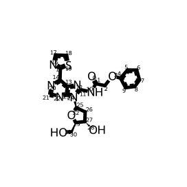 O=C(COc1ccccc1)Nc1nc2c(-c3nccs3)ncnc2n1[C@H]1C[C@H](O)[C@@H](CO)O1